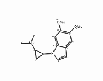 COc1cc2ccn(C3CC3N(C)C)c2cc1OC